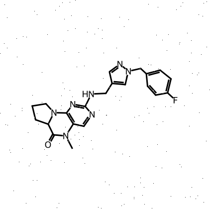 CN1C(=O)C2CCCN2c2nc(NCc3cnn(Cc4ccc(F)cc4)c3)ncc21